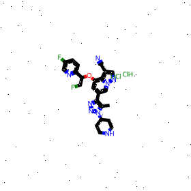 Cc1c(-c2cc(OC(CF)c3ccc(F)cn3)c3c(C#N)cnn3c2)nnn1C1CCNCC1.Cl.Cl